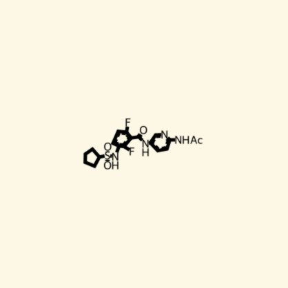 CC(=O)Nc1ccc(NC(=O)c2c(F)ccc(NS(=O)(=O)C3CCCC3)c2F)cn1